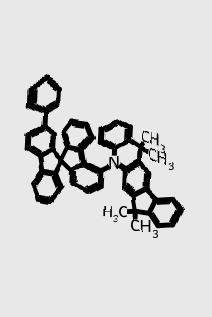 CC1(C)c2ccccc2-c2cc3c(cc21)N(c1cccc2c1-c1ccccc1C21c2ccccc2-c2ccc(-c4ccccc4)cc21)c1ccccc1C3(C)C